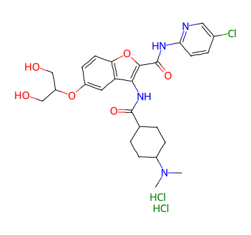 CN(C)C1CCC(C(=O)Nc2c(C(=O)Nc3ccc(Cl)cn3)oc3ccc(OC(CO)CO)cc23)CC1.Cl.Cl